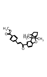 COC(=O)c1ccc(C=CC(=O)c2ccc3c(c2)C2(C)C4(C)CCC(C4)C2(C)O3)cc1